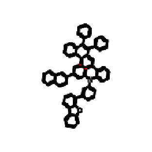 c1ccc(-c2c(-c3ccccc3)c3cc(-c4ccccc4N(c4cccc(-c5ccc6ccccc6c5)c4)c4cccc(-c5cccc6c5oc5ccccc56)c4)ccc3c3ccccc23)cc1